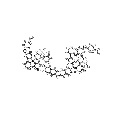 C=CC1=CC=C(Oc2ccc(C3(c4ccc(C(C)(C)C)cc4)c4cc(N(c5ccc(F)cc5)c5ccc6cc7c(cc6c5)C5C=c6cc(N(C8=CC9C(C=C8)C8C=CCCC8C9(C8C=CC(Oc9ccc(C=C)cc9)=CC8)C8CC=C(C(C)(C)C)CC8)C8=CC=C(F)CC8)ccc6=CC5O7)ccc4C4C=CC=CC43)cc2)CC1